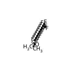 C=C(C)C(=O)OC(F)(F)C(F)(F)C(F)(F)C(F)(F)C(F)(F)C(F)(F)C(F)(F)C(F)(C(F)(F)F)C(F)(F)F